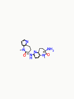 CN1C(=O)[C@H](N)CCc2nc(N[C@H]3CCc4ncccc4N(C)C3=O)ccc21